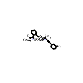 CO/N=C(/C(=O)OC)c1ccccc1CO/N=C(\C)C#Cc1cccc(Cl)c1